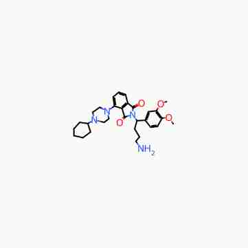 COc1ccc(C(CCCN)N2C(=O)c3cccc(N4CCN(C5CCCCC5)CC4)c3C2=O)cc1OC